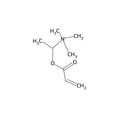 C=CC(=O)OC(C)[N+](C)(C)C